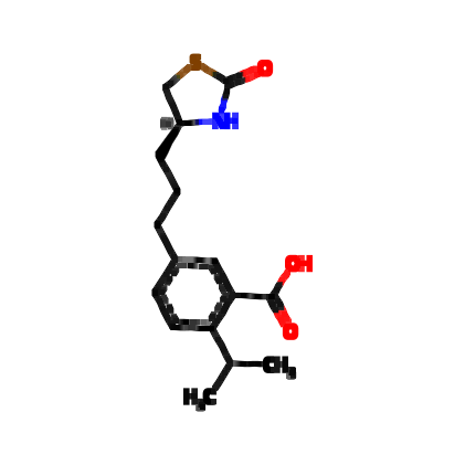 CC(C)c1ccc(CCC[C@H]2CSC(=O)N2)cc1C(=O)O